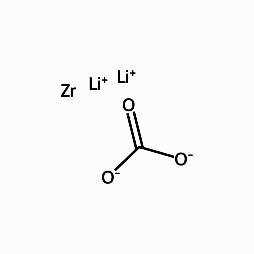 O=C([O-])[O-].[Li+].[Li+].[Zr]